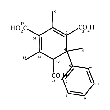 CC1=C(C(=O)O)C(C)(c2ccccc2)C(C(=O)O)C(C)=C1C(=O)O